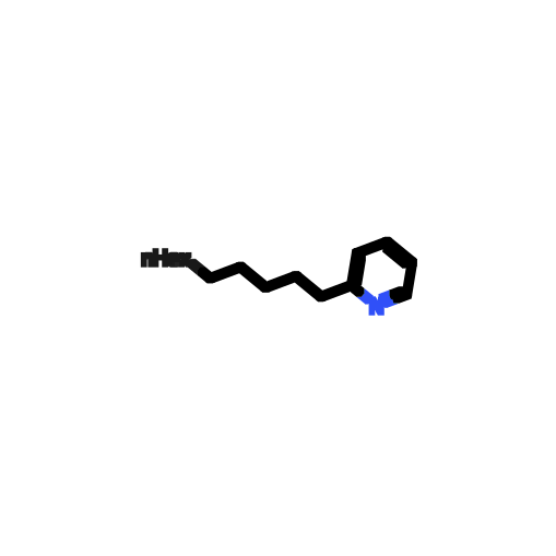 CCCCCCCCCCCc1ccccn1